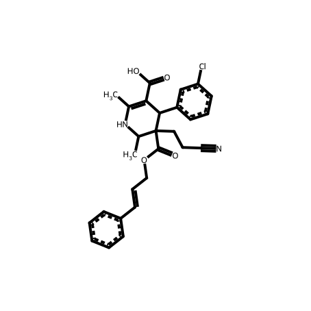 CC1=C(C(=O)O)C(c2cccc(Cl)c2)C(CCC#N)(C(=O)OCC=Cc2ccccc2)C(C)N1